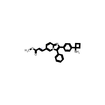 COC(=O)/C=C/c1ccc2nc(-c3ccc(C4(N)CCC4)cc3)c(-c3ccccc3)n2c1